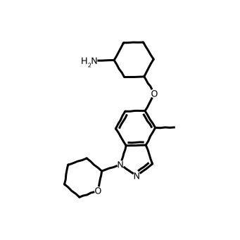 Cc1c(OC2CCCC(N)C2)ccc2c1cnn2C1CCCCO1